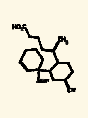 CCCCCCCCCC1(C2CC(C#N)CCC2C(C)CCCC(=O)O)CCCCC1